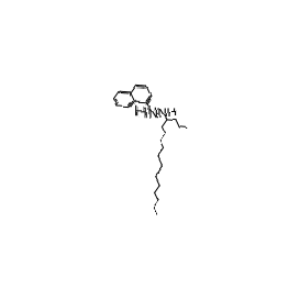 CCCCCCCCCCCCC(CCC)NNc1cccc2ccccc12